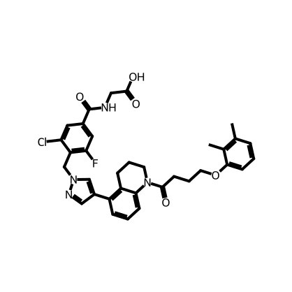 Cc1cccc(OCCCC(=O)N2CCCc3c(-c4cnn(Cc5c(F)cc(C(=O)NCC(=O)O)cc5Cl)c4)cccc32)c1C